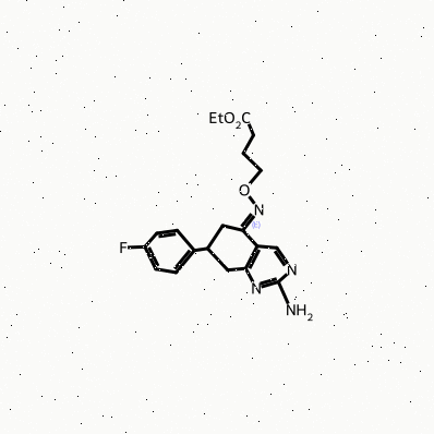 CCOC(=O)CCCO/N=C1\CC(c2ccc(F)cc2)Cc2nc(N)ncc21